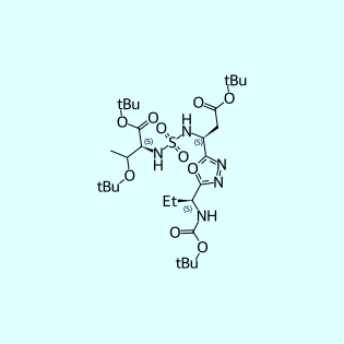 CC[C@H](NC(=O)OC(C)(C)C)c1nnc([C@H](CC(=O)OC(C)(C)C)NS(=O)(=O)N[C@H](C(=O)OC(C)(C)C)C(C)OC(C)(C)C)o1